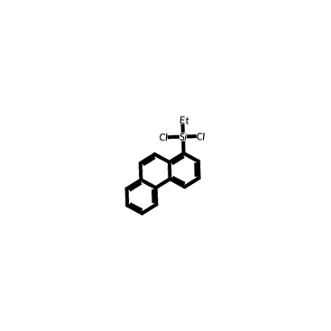 CC[Si](Cl)(Cl)c1cccc2c1ccc1ccccc12